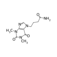 Cn1c(=O)c2c(ncn2CCCC(N)=O)n(C)c1=O